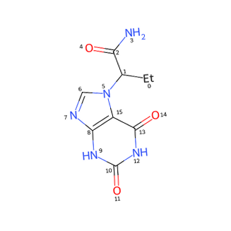 CCC(C(N)=O)n1cnc2[nH]c(=O)[nH]c(=O)c21